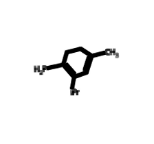 CC1=CC(C(C)C)=C(P)CC1